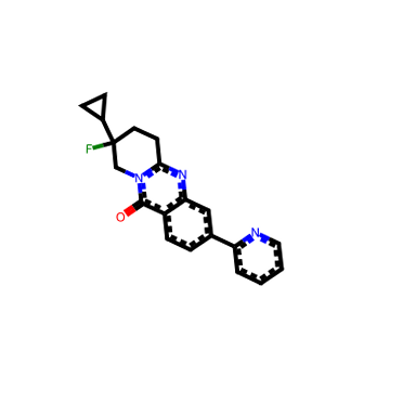 O=c1c2ccc(-c3ccccn3)cc2nc2n1CC(F)(C1CC1)CC2